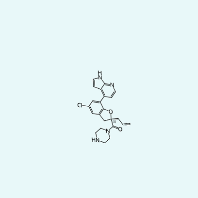 C=CC[C@@]1(C(=O)N2CCNCC2)Cc2cc(Cl)cc(-c3ccnc4[nH]ccc34)c2O1